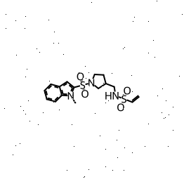 C=CS(=O)(=O)NCC1CCN(S(=O)(=O)c2cc3ccccc3n2C)C1